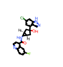 O=C(NC1[C@H]2CC(O)(c3cc(Cl)cc4[nH]ncc34)C[C@@H]12)c1ccnc2ccc(F)cc12